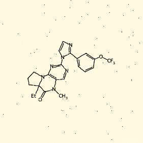 CCC12CCCN1c1nc(-n3ccnc3-c3cccc(OC(F)(F)F)c3)ncc1N(C)C2=O